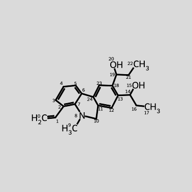 C=Cc1cccc2c1N(C)Cc1cc(C(O)CC)c(C(O)CC)cc1-2